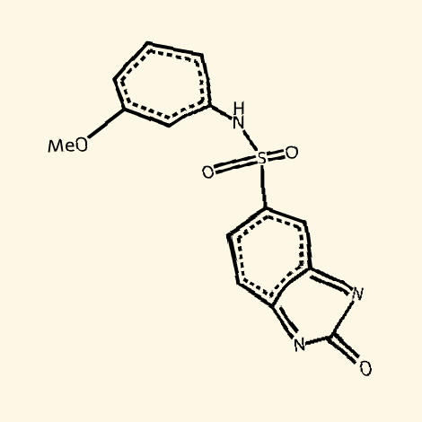 COc1cccc(NS(=O)(=O)c2ccc3c(c2)=NC(=O)N=3)c1